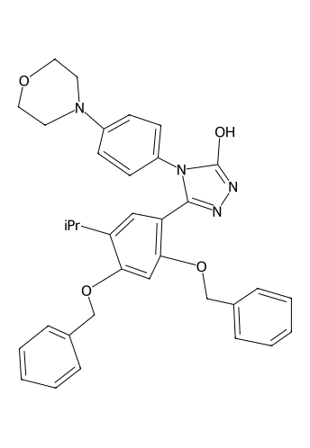 CC(C)c1cc(-c2nnc(O)n2-c2ccc(N3CCOCC3)cc2)c(OCc2ccccc2)cc1OCc1ccccc1